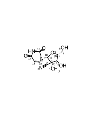 C[C@@]1(C#N)C(O)[C@@H](CO)O[C@H]1n1ccc(=O)[nH]c1=O